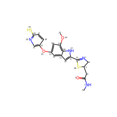 CNC(=O)CC1CN=C(c2cc3cc(Oc4ccc(S)nc4)cc(OC)c3[nH]2)S1